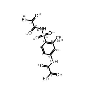 CCC(=O)C(=O)Nc1ccc(S(=O)(=O)NC(=O)C(=O)CC)c(C(F)(F)F)c1